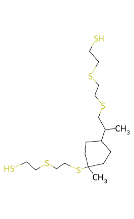 CC(CSCCSCCS)C1CCC(C)(SCCSCCS)CC1